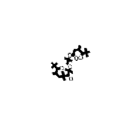 CC(CC(=O)OC(C)(C)COC(C)(C)C(=O)C(C)(C)CC(C)C(=O)C(C)(C)C)C(=O)C(C)(C)C